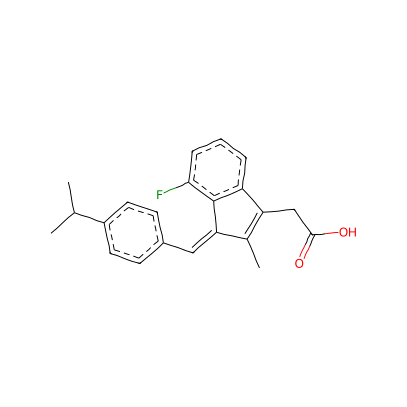 CC1=C(CC(=O)O)c2cccc(F)c2/C1=C\c1ccc(C(C)C)cc1